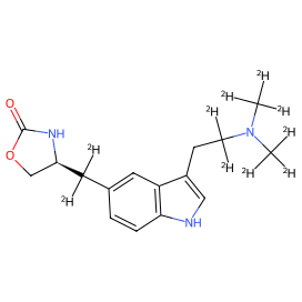 [2H]C([2H])(c1ccc2[nH]cc(CC([2H])([2H])N(C([2H])([2H])[2H])C([2H])([2H])[2H])c2c1)[C@H]1COC(=O)N1